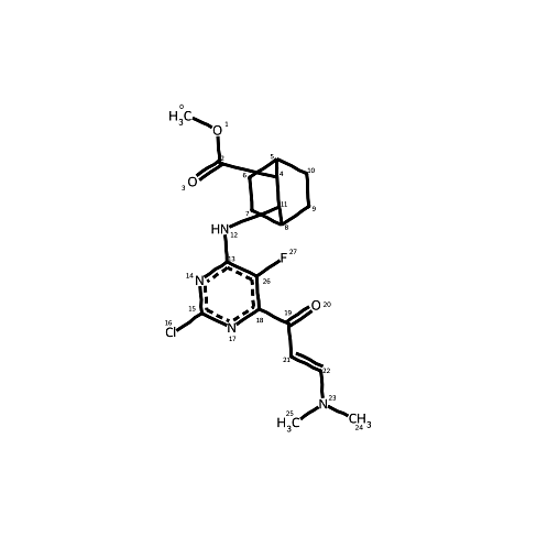 COC(=O)C1C2CCC(CC2)C1Nc1nc(Cl)nc(C(=O)/C=C/N(C)C)c1F